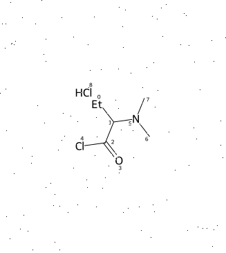 CCC(C(=O)Cl)N(C)C.Cl